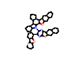 c1ccc2cc3c(cc2c1)oc1c3c2ccccc2c2c3ccccc3n(-c3nc4c(nc3-c3cccc5c3oc3ccccc35)sc3cc5ccccc5cc34)c12